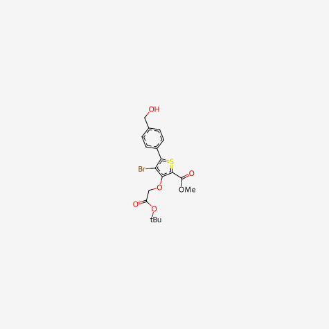 COC(=O)c1sc(-c2ccc(CO)cc2)c(Br)c1OCC(=O)OC(C)(C)C